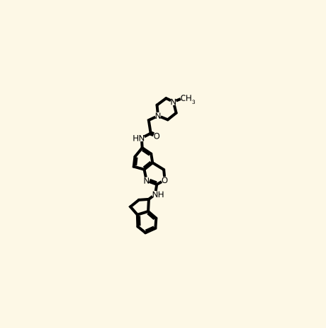 CN1CCN(CC(=O)Nc2ccc3c(c2)COC(NC2CCc4ccccc42)=N3)CC1